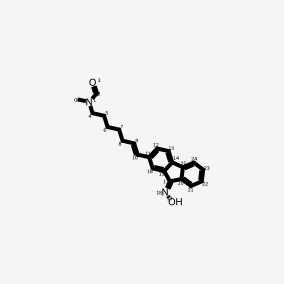 CN(C=O)CCCCC/C=C/c1ccc2c(c1)/C(=N/O)c1ccccc1-2